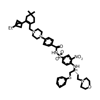 CCC12CC(C3=C(CN4CCN(c5ccc(C(=O)NS(=O)(=O)c6ccc(N[C@H](CCN7CCOCC7)CSc7ccccc7)c([N+](=O)[O-])c6)cc5)CC4)CCC(C)(C)C3)(C1)C2